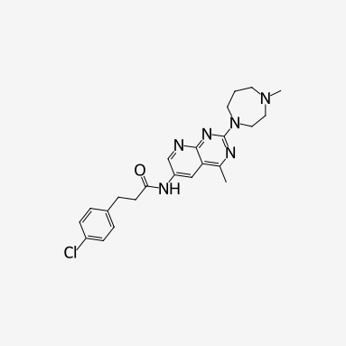 Cc1nc(N2CCCN(C)CC2)nc2ncc(NC(=O)CCc3ccc(Cl)cc3)cc12